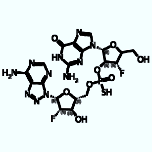 Nc1nc2c(ncn2[C@@H]2OC(CO)[C@H](F)[C@H]2OP(=O)(S)OC[C@H]2O[C@@H](n3nnc4c(N)ncnc43)[C@@H](F)[C@@H]2O)c(=O)[nH]1